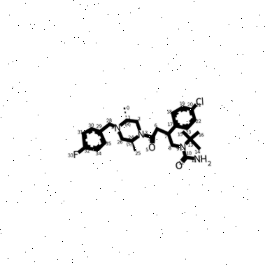 C[C@@H]1CN(C(=O)CC(CN(C(N)=O)C(C)(C)C)c2ccc(Cl)cc2)[C@@H](C)CN1Cc1ccc(F)cc1